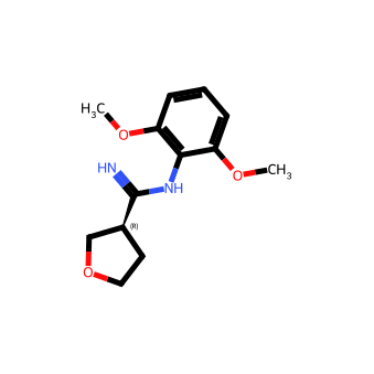 COc1cccc(OC)c1NC(=N)[C@H]1CCOC1